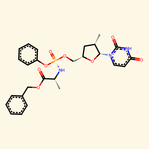 C[C@@H](N[P@](=O)(OC[C@@H]1C[C@H](C)[C@H](n2ccc(=O)[nH]c2=O)O1)Oc1ccccc1)C(=O)OCc1ccccc1